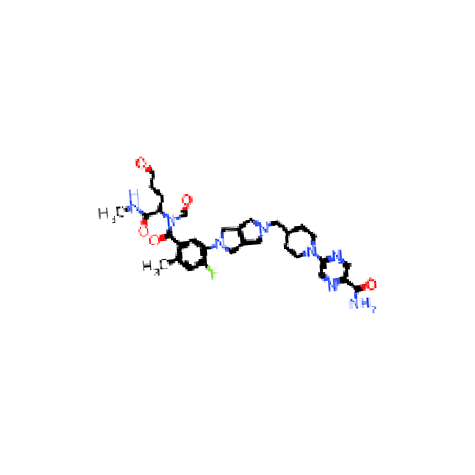 CNC(=O)C(CCC=O)N(C=O)C(=O)c1cc(N2CC3CN(CC4CCN(c5cnc(C(N)=O)cn5)CC4)CC3C2)c(F)cc1C